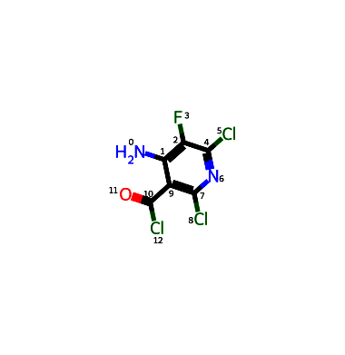 Nc1c(F)c(Cl)nc(Cl)c1C(=O)Cl